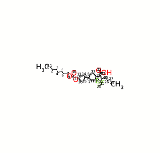 CCCCCCCCOC(=O)Oc1ccc(-c2ccc(C(C(=O)O)C(CCCC)C(F)(F)F)cc2)cc1